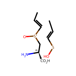 CC=CSO.CC=C[S+]([O-])C[C@H](N)C(=O)O